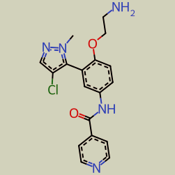 Cn1ncc(Cl)c1-c1cc(NC(=O)c2ccncc2)ccc1OCCN